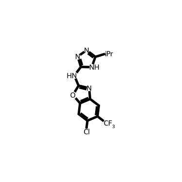 CC(C)c1nnc(Nc2nc3cc(C(F)(F)F)c(Cl)cc3o2)[nH]1